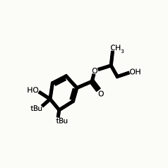 CC(CO)OC(=O)C1=CC(C(C)(C)C)C(O)(C(C)(C)C)C=C1